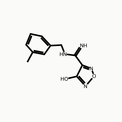 Cc1cccc(CNC(=N)c2nonc2O)c1